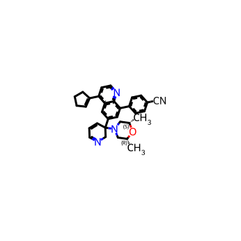 C[C@@H]1CN(C2(c3cc(-c4ccc(C#N)cc4)c4nccc(C5=CCCC5)c4c3)C=CC=NC2)C[C@H](C)O1